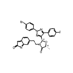 C[C@H]1O[C@H](c2nn(-c3ccc(Br)cc3)nc2-c2ccc(F)cc2)N(CCc2ccc3c(c2)=NC(=O)C=3)C1=O